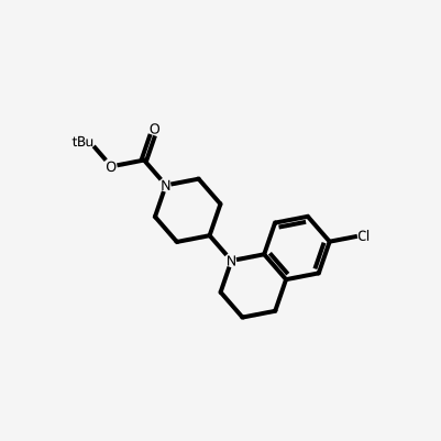 CC(C)(C)OC(=O)N1CCC(N2CCCc3cc(Cl)ccc32)CC1